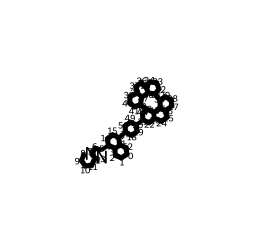 c1ccc2c(-c3cn4ccccc4n3)ccc(-c3ccc(-c4cc5ccc6cccc7c8cccc9ccc%10cccc(c(c4)c5c67)c%10c98)cc3)c2c1